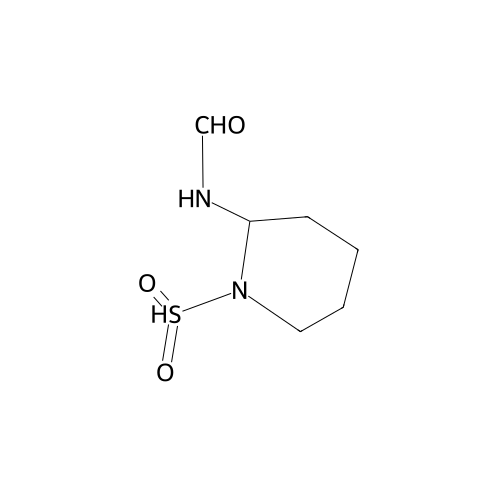 O=CNC1CCCCN1[SH](=O)=O